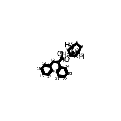 CN1[C@@H]2CC[C@H]1CC(OC(=O)C(Cc1ccccc1)c1ccccc1)C2